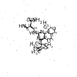 C[C@@H]1COCC2COc3c(nc(N/C=C(\C=N)C(N)=O)nc3C(C)(C)S(C)(=O)=O)N21